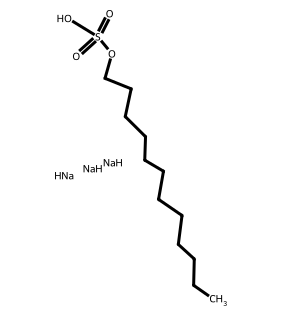 CCCCCCCCCCCCOS(=O)(=O)O.[NaH].[NaH].[NaH]